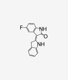 O=C1Nc2ccc(F)cc2C1=C1Cc2ccccc2N1